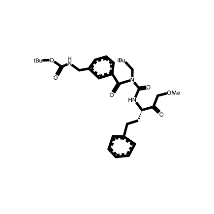 CCC(C)CN(C(=O)N[C@@H](CCc1ccccc1)C(=O)COC)C(=O)c1cccc(CNC(=O)OC(C)(C)C)c1